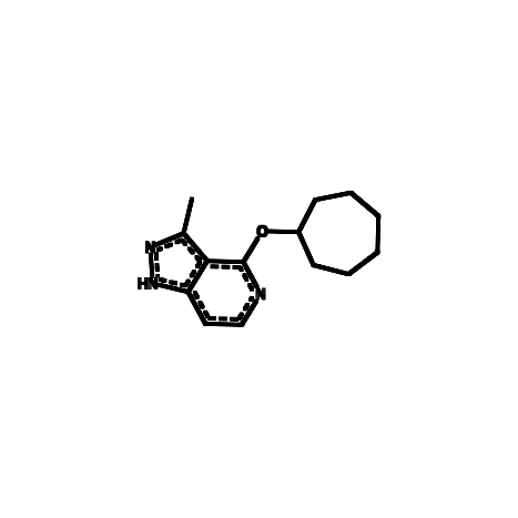 Cc1n[nH]c2ccnc(OC3CCCCCC3)c12